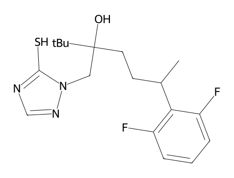 CC(CCC(O)(Cn1ncnc1S)C(C)(C)C)c1c(F)cccc1F